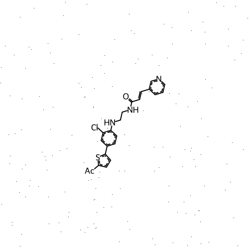 CC(=O)c1ccc(-c2ccc(NCCNC(=O)C=Cc3cccnc3)c(Cl)c2)s1